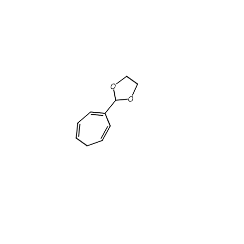 C1=CCC=CC(C2OCCO2)=C1